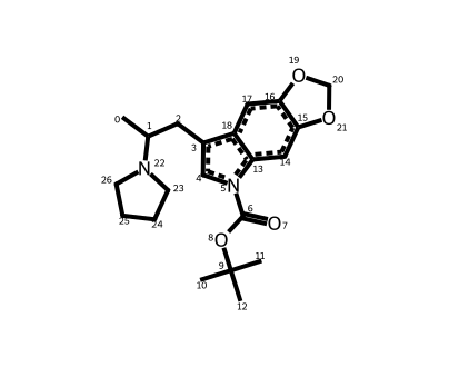 CC(Cc1cn(C(=O)OC(C)(C)C)c2cc3c(cc12)OCO3)N1CCCC1